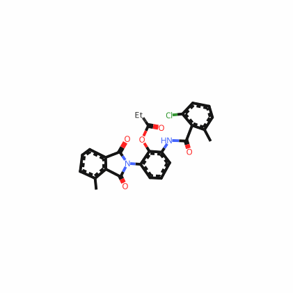 CCC(=O)Oc1c(NC(=O)c2c(C)cccc2Cl)cccc1N1C(=O)c2cccc(C)c2C1=O